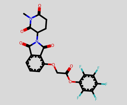 CN1C(=O)CCC(N2C(=O)c3cccc(OCC(=O)Oc4c(F)c(F)c(F)c(F)c4F)c3C2=O)C1=O